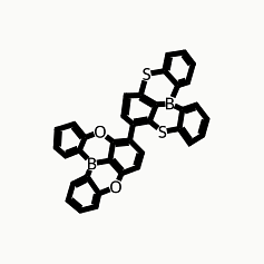 c1ccc2c(c1)Oc1ccc(-c3ccc4c5c3Sc3ccccc3B5c3ccccc3S4)c3c1B2c1ccccc1O3